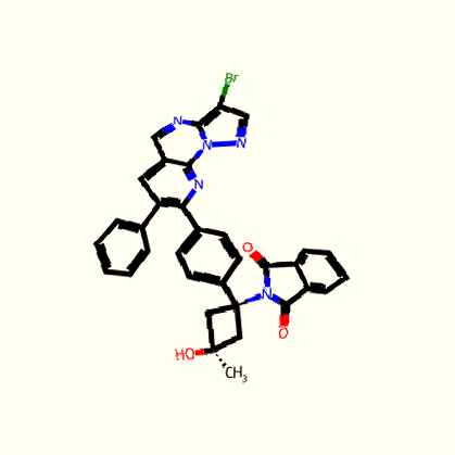 C[C@]1(O)C[C@@](c2ccc(-c3nc4c(cnc5c(Br)cnn54)cc3-c3ccccc3)cc2)(N2C(=O)c3ccccc3C2=O)C1